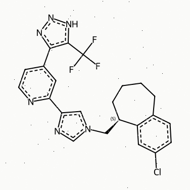 FC(F)(F)c1[nH]nnc1-c1ccnc(-c2cn(C[C@H]3CCCCc4ccc(Cl)cc43)cn2)c1